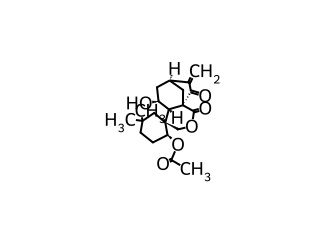 C=C1C(=O)[C@@]23C[C@H]1C[C@H](O)[C@H]2[C@@]1(COC3=O)CC(C)(C)CC[C@@H]1OC(C)=O